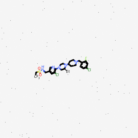 CC[C@H]1CN(c2ncc(CNS(=O)(=O)CC(F)(F)F)cc2Cl)CCN1C1CCN(Cc2ccc(Cl)cc2F)CC1